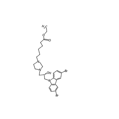 CCOC(=O)CCCCCN1CCN(C[C@@H](O)Cn2c3ccc(Br)cc3c3cc(Br)ccc32)CC1